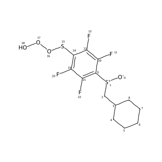 [O-][S+](CC1CCCCC1)c1c(F)c(F)c(SOOO)c(F)c1F